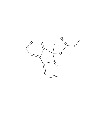 COC(=O)OC1(C)c2ccccc2-c2ccccc21